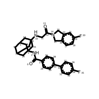 O=C(NC12CC3CC(CC(NCC(=O)N4Cc5ccc(F)cc5C4)(C3)C1)C2)c1ccc(-c2ccc(F)cc2)cc1